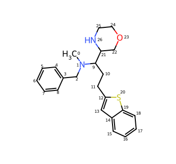 CN(Cc1ccccc1)C(CCc1cc2ccccc2s1)C1COCCN1